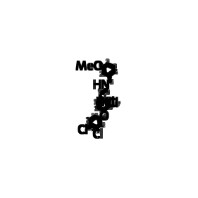 COc1cccc(CNCCN2CCC(Oc3ccc(Cl)c(Cl)c3)CC2)c1.Cl.Cl